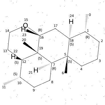 C[C@@H]1CCC[C@]2(C)[C@H]3CC[C@H](C)[C@@H]4CCO[C@H](C[C@@H]12)[C@]34C